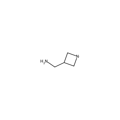 NCC1C[N]C1